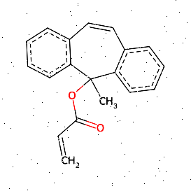 C=CC(=O)OC1(C)c2ccccc2C=Cc2ccccc21